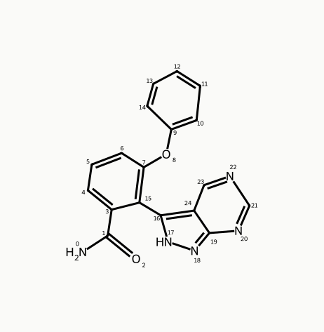 NC(=O)c1cccc(Oc2ccccc2)c1-c1[nH]nc2ncncc12